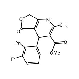 COC(=O)C1=C(C)NC2=C(C(=O)OC2)C1c1cccc(F)c1C(C)C